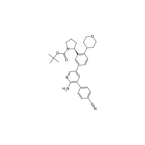 CC(C)(C)OC(=O)N1CCC[C@H]1c1cc(-c2cnc(N)c(-c3ccc(C#N)cc3)c2)ccc1C1CCOCC1